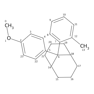 COc1ccc(C2(c3ccccc3C)C3CCCC2CCC3)cc1